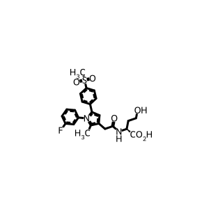 Cc1c(CC(=O)N[C@@H](CCO)C(=O)O)cc(-c2ccc(S(C)(=O)=O)cc2)n1-c1cccc(F)c1